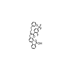 O=C(O)c1ccccc1-c1ccc(CN(CCCc2ccccc2)C(=O)c2ccc(C(F)(F)F)cc2F)cc1